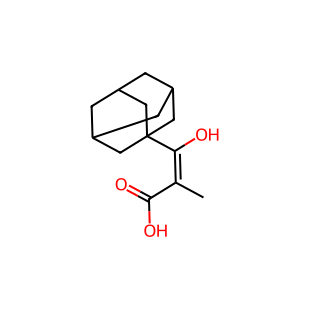 CC(C(=O)O)=C(O)C12CC3CC(CC(C3)C1)C2